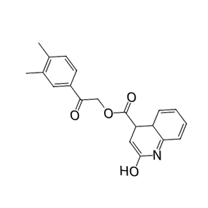 Cc1ccc(C(=O)COC(=O)C2C=C(O)N=C3C=CC=CC32)cc1C